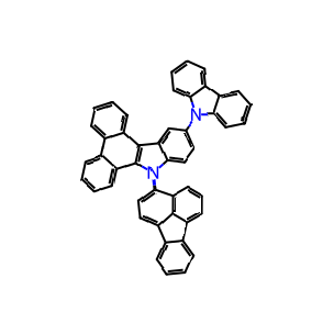 c1ccc2c(c1)-c1cccc3c(-n4c5ccc(-n6c7ccccc7c7ccccc76)cc5c5c6ccccc6c6ccccc6c54)ccc-2c13